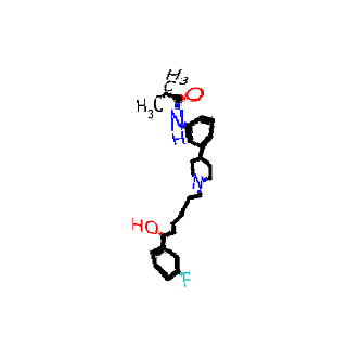 CC(C)C(=O)Nc1cccc(C2CCN(CCCCCC(O)c3cccc(F)c3)CC2)c1